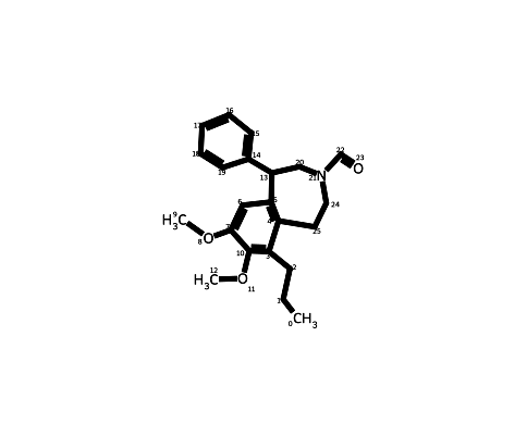 CCCc1c2c(cc(OC)c1OC)C(c1ccccc1)CN(C=O)CC2